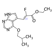 CCOC(=O)/C(F)=C/c1c[nH]c2ncnc(OCC(C)C)c12